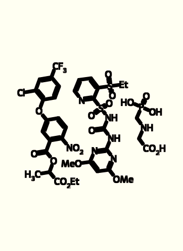 CCOC(=O)C(C)OC(=O)c1cc(Oc2ccc(C(F)(F)F)cc2Cl)ccc1[N+](=O)[O-].CCS(=O)(=O)c1cccnc1S(=O)(=O)NC(=O)Nc1nc(OC)cc(OC)n1.O=C(O)CNCP(=O)(O)O